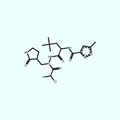 Cc1cc(C(=O)NC(CC(C)(C)C)C(=O)NN(CC2CCNC2=O)C(=O)C(F)Cl)no1